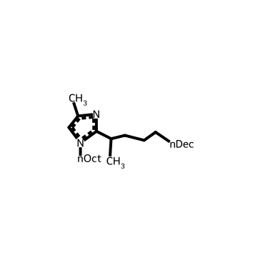 CCCCCCCCCCCCCC(C)c1nc(C)cn1CCCCCCCC